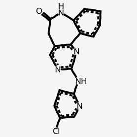 O=C1Cc2cnc(Nc3ccc(Cl)cn3)nc2-c2ccccc2N1